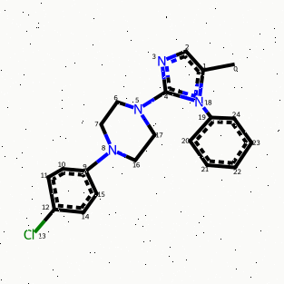 Cc1cnc(N2CCN(c3ccc(Cl)cc3)CC2)n1-c1ccccc1